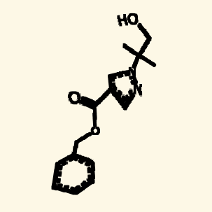 CC(C)(CO)n1cc(C(=O)OCc2ccccc2)cn1